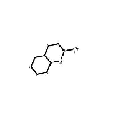 CC(C)C1CCC2CCCCC2O1